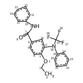 CCOc1ccc(C(=O)Nc2ccccc2)cc1N(c1ccccc1)C(F)(F)F